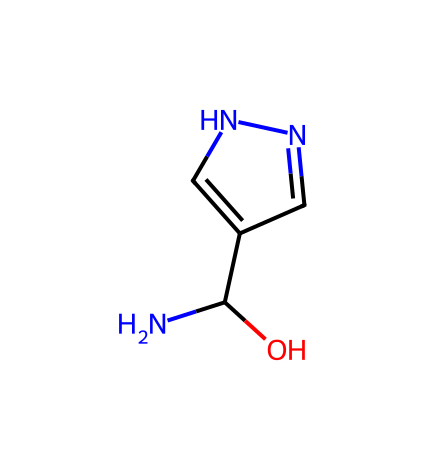 NC(O)c1cn[nH]c1